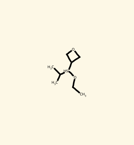 CCO[SiH](C(C)C)C1COC1